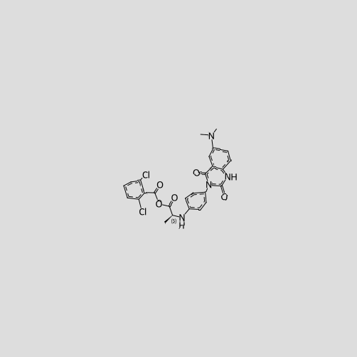 C[C@H](Nc1ccc(-n2c(=O)[nH]c3ccc(N(C)C)cc3c2=O)cc1)C(=O)OC(=O)c1c(Cl)cccc1Cl